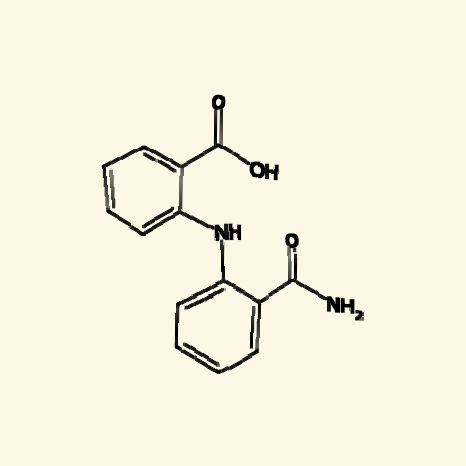 NC(=O)c1ccccc1Nc1ccccc1C(=O)O